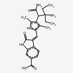 CCC(N)(CC)C(C(N)=O)c1c(C)[nH]c(C=C2C(=O)Nc3cc(C(=O)O)ccc32)c1C